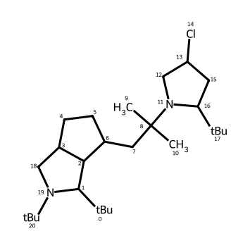 CC(C)(C)C1C2C(CCC2CC(C)(C)N2CC(Cl)CC2C(C)(C)C)CN1C(C)(C)C